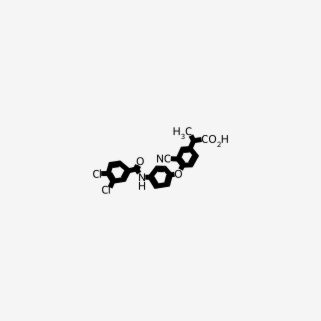 CC(C(=O)O)c1ccc(Oc2ccc(NC(=O)c3ccc(Cl)c(Cl)c3)cc2)c(C#N)c1